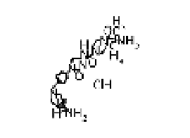 CC(C)(N)C(=O)N1CCN(C(=O)Nc2ccn(-c3ccc(CN4CC[C@H]5[C@H](N)[C@H]5C4)cc3)c(=O)n2)CC1.Cl